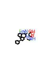 O=C(O)CC1C(=O)NCCN1C(c1ccc(-c2ccccc2)cc1)c1cn[nH]c1-c1ccccc1F